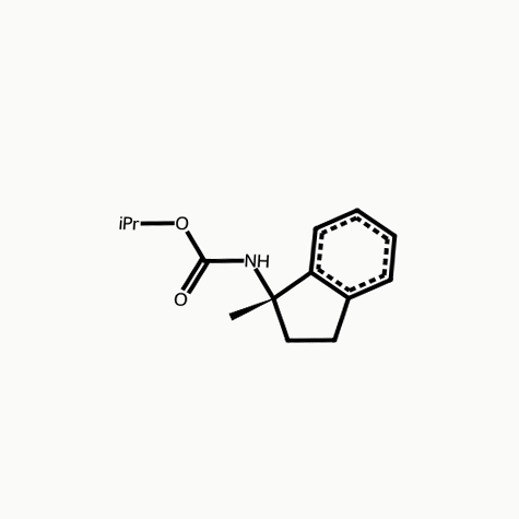 CC(C)OC(=O)N[C@@]1(C)CCc2ccccc21